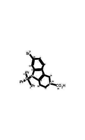 CC(C)[Si](C(C)C)(C(C)C)n1c2c(c3ccc(Br)cc31)CN(C(=O)O)CC2